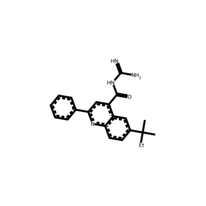 CCC(C)(C)c1ccc2nc(-c3ccccc3)cc(C(=O)NC(=N)N)c2c1